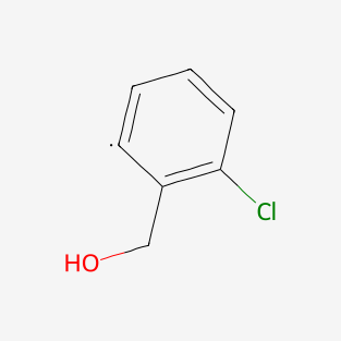 OCc1[c]cccc1Cl